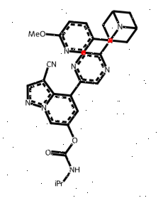 COc1ccc(CN2C3CC2CN(c2cnc(-c4cc(OC(=O)NC(C)C)cn5ncc(C#N)c45)cn2)C3)cn1